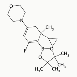 CC1(C2CC2)CC(N2CCOCC2)=CC(F)=C1B1OC(C)(C)C(C)(C)O1